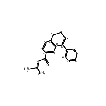 NC(N)=NC(=O)c1ccc2c(c1)C(c1cncnc1)=CCC2